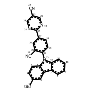 CC(C)(C)c1ccc2c(c1)c1ccccc1n2-c1ccc(-c2ncc(C#N)cn2)cc1C#N